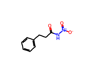 O=C(CCc1ccccc1)N[N+](=O)[O-]